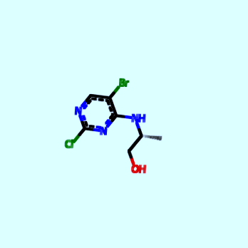 C[C@H](CO)Nc1nc(Cl)ncc1Br